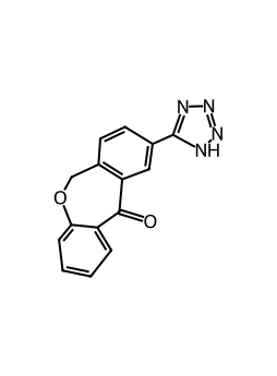 O=C1c2cc(-c3nnn[nH]3)ccc2COc2ccccc21